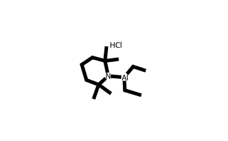 C[CH2][Al]([CH2]C)[N]1C(C)(C)CCCC1(C)C.Cl